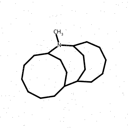 CN1C2CCCCCCC(CC2)C2CCCCCC1CC2